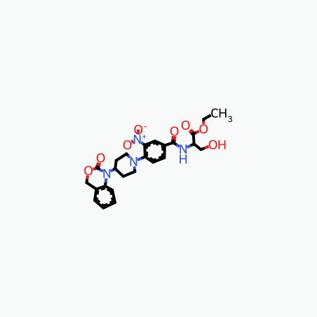 CCOC(=O)C(CO)NC(=O)c1ccc(N2CCC(N3C(=O)OCc4ccccc43)CC2)c([N+](=O)[O-])c1